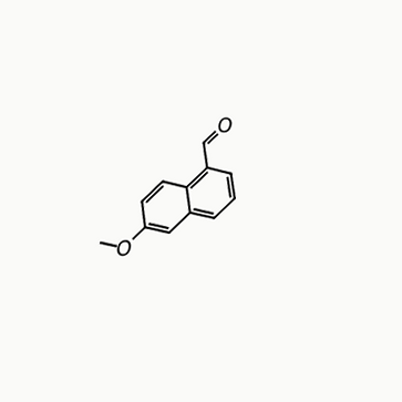 COc1ccc2c(C=O)cccc2c1